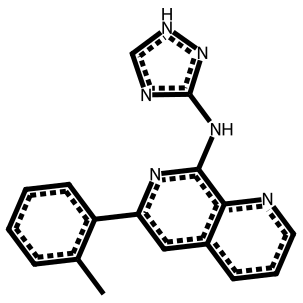 Cc1ccccc1-c1cc2cccnc2c(Nc2nc[nH]n2)n1